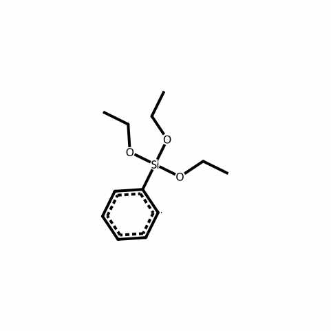 CCO[Si](OCC)(OCC)c1[c]cccc1